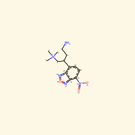 C[N+](C)(C)CC(CCN)c1ccc([N+](=O)[O-])c2nonc12